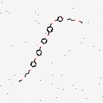 C=CC(=O)OCCCCOc1ccc(C(=O)Oc2ccc(C(=O)Oc3ccc(OC(=O)c4ccc(COC(O)c5ccc(OCCCCOC(=O)C=C)cc5)cc4)cc3C)cc2)cc1